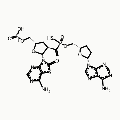 C=C([C@@H]1C[C@@H](CO[PH](=O)O)O[C@H]1n1c(=O)sc2c(N)ncnc21)P(=O)(S)OC[C@@H]1CC[C@H](n2cnc3c(N)ncnc32)O1